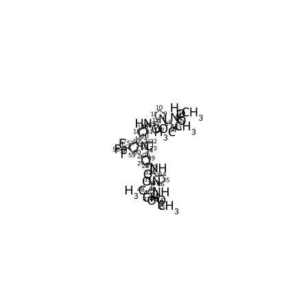 COC(=O)N[C@H](C(=O)N1CCC[C@H]1C(=O)Nc1cccc([C@H]2CC[C@@H](c3cccc(NC(=O)[C@@H]4CCCN4C(=O)[C@@H](NC(=O)OC)C(C)C)c3)N2c2ccc(C(F)(F)F)cc2)c1)C(C)C